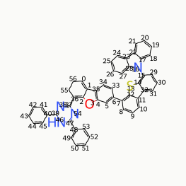 C1=c2c(oc3cc(-c4cccc5c4sc4c(-n6c7ccccc7c7ccccc76)cccc45)ccc23)=C(C2=NC(c3ccccc3)NC(c3ccccc3)=N2)CC1